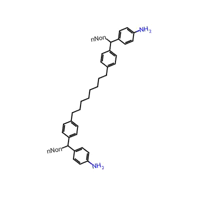 CCCCCCCCCC(c1ccc(N)cc1)c1ccc(CCCCCCCCc2ccc(C(CCCCCCCCC)c3ccc(N)cc3)cc2)cc1